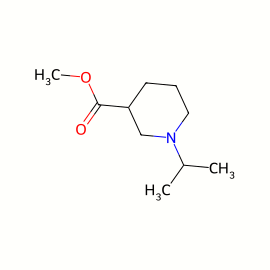 COC(=O)C1CCCN(C(C)C)C1